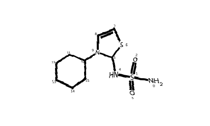 NS(=O)(=O)NC1SC=CN1C1CCCCC1